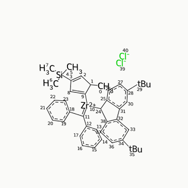 CC1C=C([Si](C)(C)C)C=[C]1[Zr+2](=[C](c1ccccc1)c1ccccc1)[CH]1c2ccc(C(C)(C)C)cc2-c2cc(C(C)(C)C)ccc21.[Cl-].[Cl-]